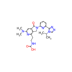 CC(C)n1cnnc1-c1cccc(N2Cc3c(cc(N(C)C)nc3CCNC(=O)O)C2=O)n1